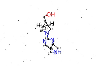 OCC1[C@H]2CN(c3ncc4c(n3)CNC4)C[C@@H]12